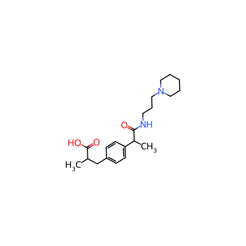 CC(Cc1ccc(C(C)C(=O)NCCCN2CCCCC2)cc1)C(=O)O